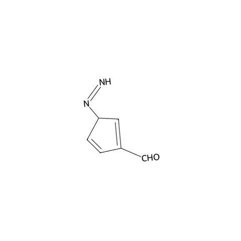 N=NC1C=CC(C=O)=C1